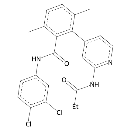 CCC(=O)Nc1cc(-c2c(C)ccc(C)c2C(=O)Nc2ccc(Cl)c(Cl)c2)ccn1